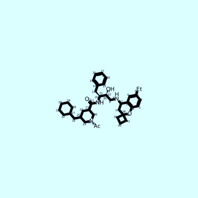 CCc1ccc2c(c1)C(NC[C@@H](O)[C@H](Cc1ccccc1)NC(=O)C1CC(CC3CCCCC3)CN(C(C)=O)C1)CC1(CCC1)O2